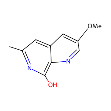 COc1cnc2c(O)nc(C)cc2c1